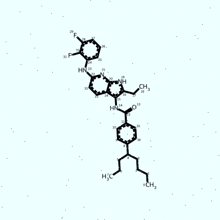 CCCCC(CCC)c1ccc(C(=O)Nc2c(CC)[nH]c3nc(Nc4cccc(F)c4F)ccc23)cc1